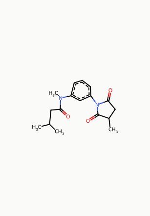 CC(C)CC(=O)N(C)c1cccc(N2C(=O)CC(C)C2=O)c1